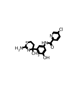 CC1(c2cc(O)cc(NC(=O)c3ccc(Cl)cn3)c2)CCSC(N)=N1